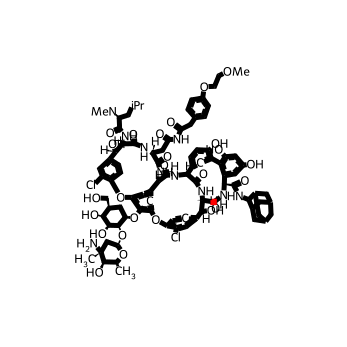 CN[C@H](CC(C)C)C(=O)N[C@H]1C(=O)N[C@@H](CC(=O)NC(=O)Cc2ccc(OCCOC)cc2)C(=O)N[C@H]2C(=O)N[C@H]3C(=O)N[C@H](C(=O)N[C@H](C(=O)NC4C5CC6CC(C5)CC4C6)c4cc(O)cc(O)c4-c4cc3ccc4O)[C@H](O)c3ccc(c(Cl)c3)Oc3cc2cc(c3O[C@@H]2C[C@H](CO)[C@@H](O)[C@H](O)[C@H]2O[C@H]2C[C@](C)(N)[C@H](O)[C@H](C)O2)Oc2ccc(cc2Cl)[C@H]1O